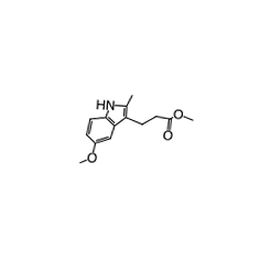 COC(=O)CCc1c(C)[nH]c2ccc(OC)cc12